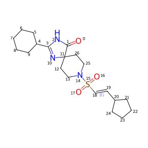 O=C1NC(C2CCCCC2)=NC12CCN(S(=O)(=O)/C=C/C1CCCC1)CC2